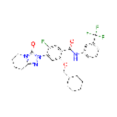 O=C(Nc1cccc(C(F)(F)F)c1)c1cc(F)c(-n2nc3n(c2=O)CCCC3)cc1OCC1CCCCC1